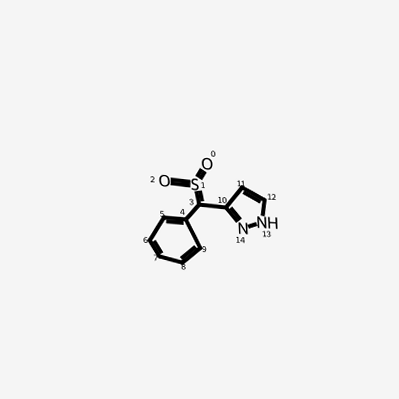 O=S(=O)=C(c1ccccc1)c1cc[nH]n1